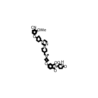 COc1cc(OC2CCC(N3C=C(N4CCC(CN(C)C5CC(Oc6ccc7c(c6)C(=O)N([C@@H]6CCC(=O)NC6=O)C7=O)C5)CC4)N=CC3)CC2)ccc1C#N